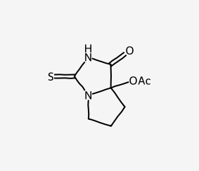 CC(=O)OC12CCCN1C(=S)NC2=O